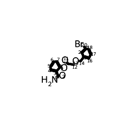 NC(=O)c1ccccc1OC(=O)COCc1cccc(Br)c1